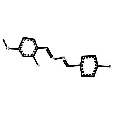 COc1ccc(/C=N/N=C/c2ccc(F)cc2)c(F)c1